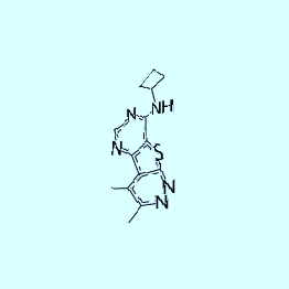 Cc1nnc2sc3c(NC4CCC4)ncnc3c2c1C